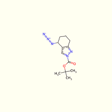 CC(C)(C)OC(=O)n1cc2c(n1)CCCC2N=[N+]=[N-]